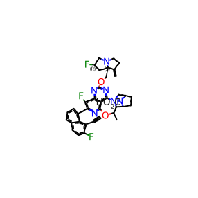 C#Cc1c(F)ccc2cccc(-c3nc4c5c(nc(OC[C@@]67C[C@@H](F)CN6CCC7=C)nc5c3F)N3CC5CCC(C3C(C)O4)N5C(=O)O)c12